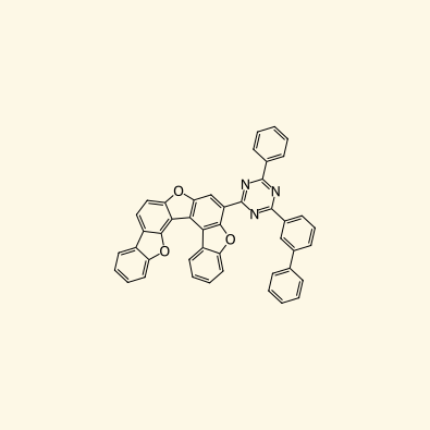 c1ccc(-c2cccc(-c3nc(-c4ccccc4)nc(-c4cc5oc6ccc7c8ccccc8oc7c6c5c5c4oc4ccccc45)n3)c2)cc1